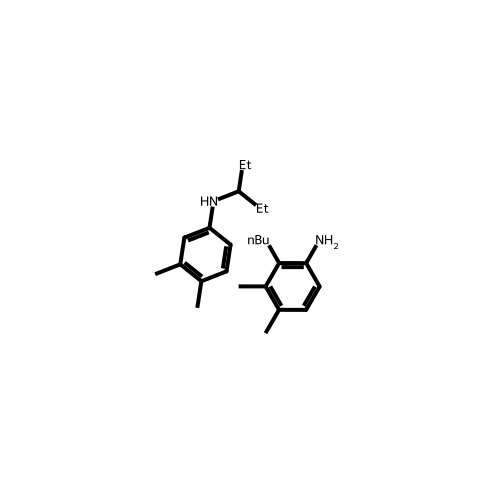 CCC(CC)Nc1ccc(C)c(C)c1.CCCCc1c(N)ccc(C)c1C